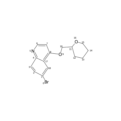 Brc1ccc2nccc(OCC3CCCCO3)c2c1